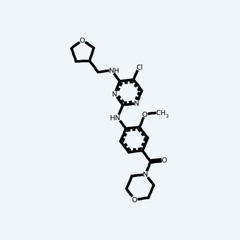 COc1cc(C(=O)N2CCOCC2)ccc1Nc1ncc(Cl)c(NCC2CCOC2)n1